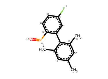 Cc1cc(C)c(-c2cc(F)ccc2P=O)c(C)c1